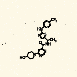 CC(NC(=O)c1cc(N2CCC(O)CC2)ncn1)c1cnc(Nc2ccc(C(F)(F)F)cc2)s1